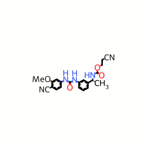 COc1cc(NC(=O)Nc2cccc([C@@H](C)NC(=O)OCCC#N)c2)ccc1C#N